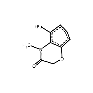 CN1C(=O)COc2cccc(C(C)(C)C)c21